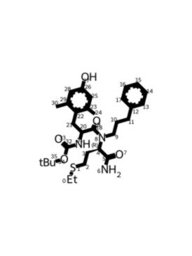 CCSCC[C@H](C(N)=O)N(CCCc1ccccc1)C(=O)C(Cc1c(C)cc(O)cc1C)NC(=O)OC(C)(C)C